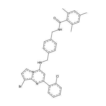 Cc1cc(C)c(C(=O)NCc2ccc(CNc3cc(-c4ccccc4Cl)nc4c(Br)ccn34)cc2)c(C)c1